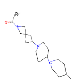 CC1CCN(C2CCN(C3CC4(C3)CN(C(=O)C(C)C)C4)CC2)CC1